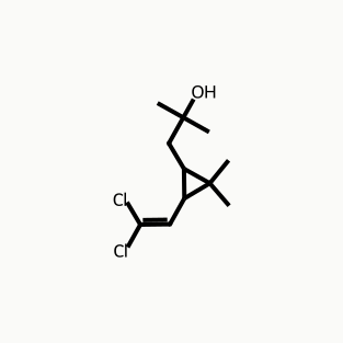 CC(C)(O)CC1C(C=C(Cl)Cl)C1(C)C